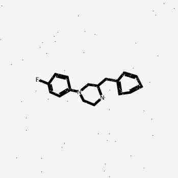 Fc1ccc(N2CC[N]C(Cc3ccccc3)C2)cc1